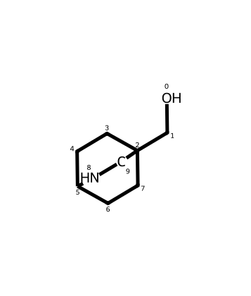 OCC12CCC(CC1)NC2